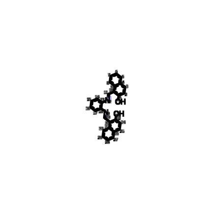 Oc1ccc2ccccc2c1/C=N/c1ccccc1/N=C/c1c(O)ccc2ccccc12